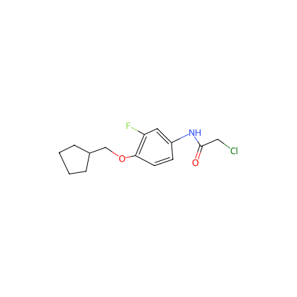 O=C(CCl)Nc1ccc(OCC2CCCC2)c(F)c1